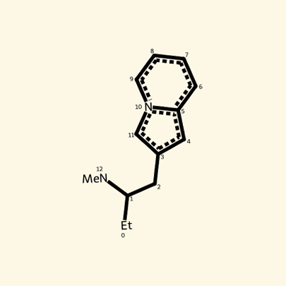 CCC(Cc1cc2ccccn2c1)NC